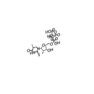 Cc1cn([C@H]2O[C@@H](COP(=O)(O)OP(=O)(O)OP(=O)(O)O)C(O)[C@H]2C)c(=S)[nH]c1=O